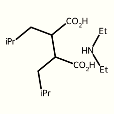 CC(C)CC(C(=O)O)C(CC(C)C)C(=O)O.CCNCC